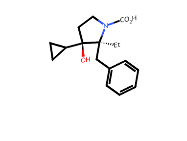 CC[C@@]1(Cc2ccccc2)N(C(=O)O)CC[C@@]1(O)C1CC1